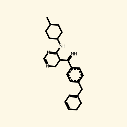 CC1CCC(NC2=NC=NCC2C(=N)c2ccc(CC3=CC=CCC3)cc2)CC1